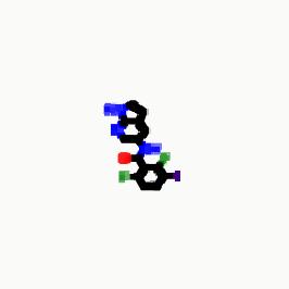 O=C(Nc1cnc2[nH]ccc2c1)c1c(F)ccc(I)c1F